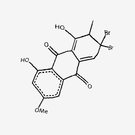 COc1cc(O)c2c(c1)C(=O)C1=CC(Br)(Br)C(C)C(O)=C1C2=O